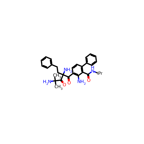 CC(C)NC(=O)c1c(-c2ccccc2)ccc(C(=O)C(N)(CCc2ccccc2)C(=O)C(C)(C)N)c1N